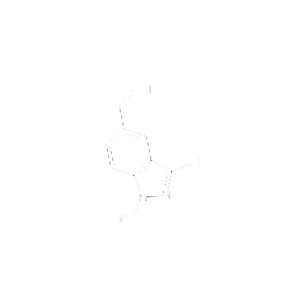 CCCn1nc(Cl)c2cc(CO)ccc21